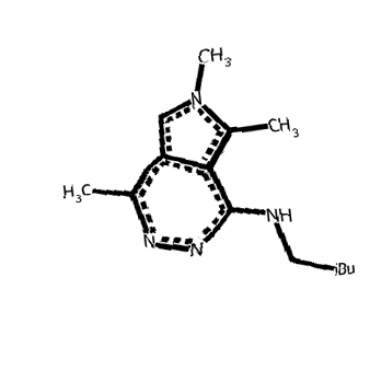 CCC(C)CNc1nnc(C)c2cn(C)c(C)c12